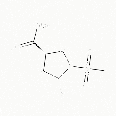 COC(=O)[C@@H]1C[C@@H](C)N(S(C)(=O)=O)C1